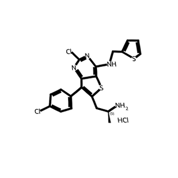 C[C@H](N)Cc1sc2c(NCc3cccs3)nc(Cl)nc2c1-c1ccc(Cl)cc1.Cl